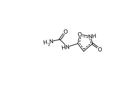 NC(=O)Nc1cc(=O)[nH]o1